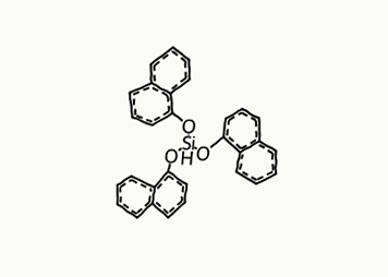 c1ccc2c(O[SiH](Oc3cccc4ccccc34)Oc3cccc4ccccc34)cccc2c1